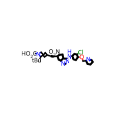 CC(C)(C)C1N(C(=O)O)CC12CC(C#Cc1cc3ncnc(Nc4ccc(OCc5ccccn5)c(Cl)c4)c3cc1[N+](=O)[O-])C2